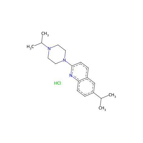 CC(C)c1ccc2nc(N3CCN(C(C)C)CC3)ccc2c1.Cl